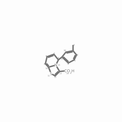 Cc1cccc(C2C=CC=C3SC=C(C(=O)O)N32)c1